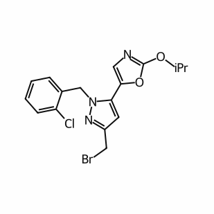 CC(C)Oc1ncc(-c2cc(CBr)nn2Cc2ccccc2Cl)o1